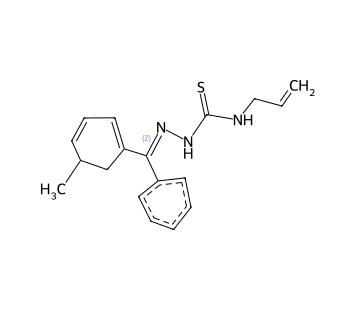 C=CCNC(=S)N/N=C(/C1=CC=CC(C)C1)c1ccccc1